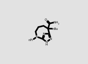 CCCCC1(C(N)=O)CCCN(CCC)c2nc1n[nH]2